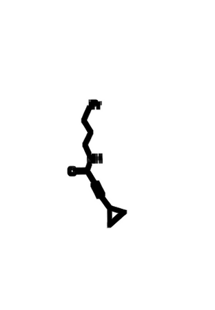 CC(C)CCCNC(=O)C#CC1CC1